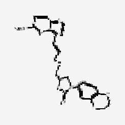 COc1ccc2nccc(C=CCOCC3CN(c4ccc5c(c4)OCCO5)C(=O)O3)c2n1